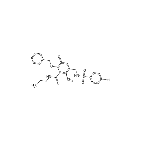 CCCNC(=O)c1c(OCc2ccccc2)c(=O)cc(CNS(=O)(=O)c2ccc(Cl)cc2)n1C